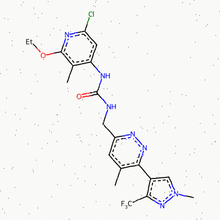 CCOc1nc(Cl)cc(NC(=O)NCc2cc(C)c(-c3cn(C)nc3C(F)(F)F)nn2)c1C